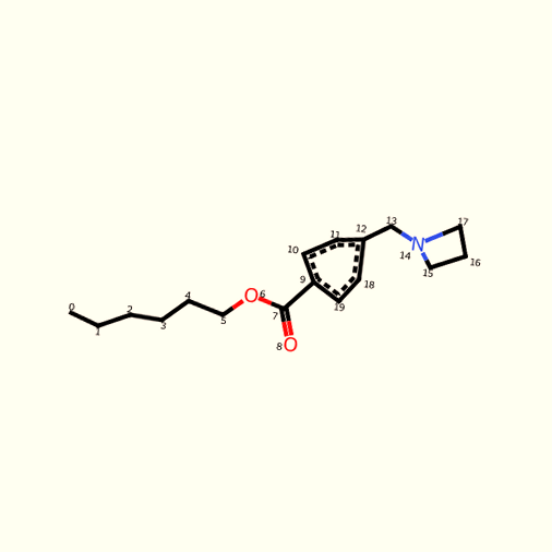 CCCCCCOC(=O)c1ccc(CN2CCC2)cc1